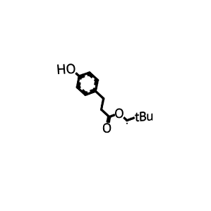 CC(C)(C)[CH]OC(=O)CCc1ccc(O)cc1